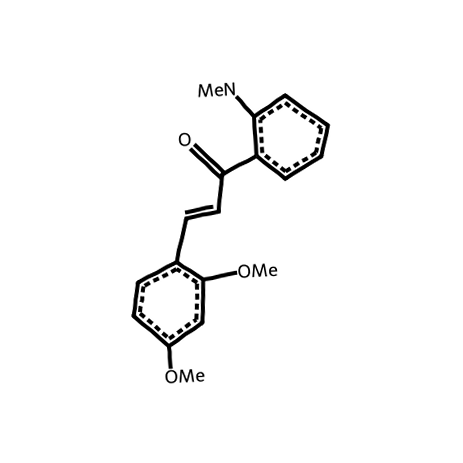 CNc1ccccc1C(=O)C=Cc1ccc(OC)cc1OC